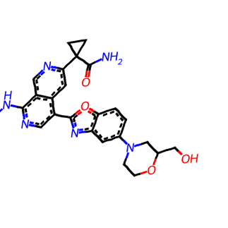 CNc1ncc(-c2nc3cc(N4CCOC(CO)C4)ccc3o2)c2cc(C3(C(N)=O)CC3)ncc12